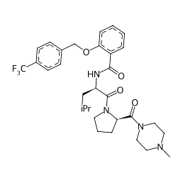 CC(C)C[C@@H](NC(=O)c1ccccc1OCc1ccc(C(F)(F)F)cc1)C(=O)N1CCC[C@@H]1C(=O)N1CCN(C)CC1